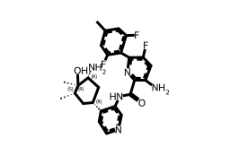 Cc1cc(F)c(-c2nc(C(=O)Nc3cnccc3[C@H]3C[C@@H](N)[C@](C)(O)[C@@H](C)C3)c(N)cc2F)c(F)c1